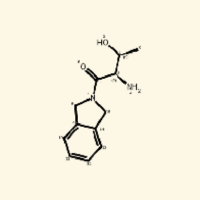 C[C@H](O)[C@@H](N)C(=O)N1Cc2ccccc2C1